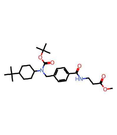 COC(=O)CCNC(=O)c1ccc(CN(C(=O)OC(C)(C)C)C2CCC(C(C)(C)C)CC2)cc1